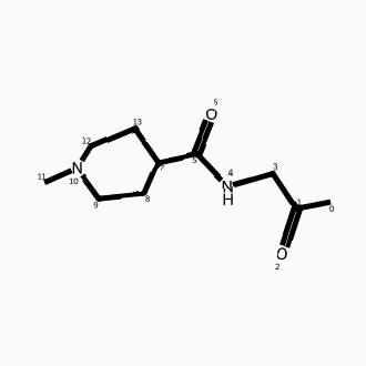 CC(=O)CNC(=O)C1CCN(C)CC1